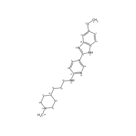 COc1ccc2[nH]c(-c3ccc(NCCCC4CCN(C)CC4)nc3)nc2c1